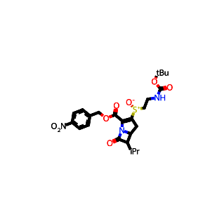 CC(C)C1C(=O)N2C(C(=O)OCc3ccc([N+](=O)[O-])cc3)=C([S+]([O-])CCNC(=O)OC(C)(C)C)CC12